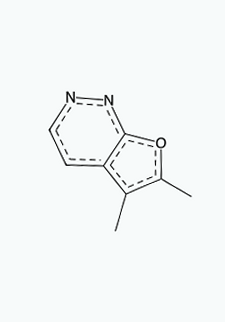 Cc1oc2nnccc2c1C